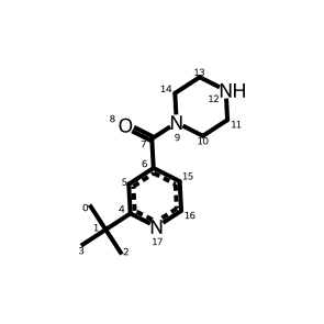 CC(C)(C)c1cc(C(=O)N2CCNCC2)ccn1